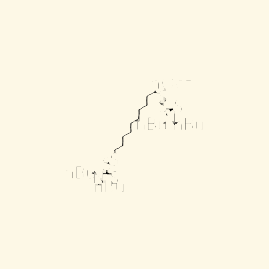 CCCCCCCCC(CCCCCCCCCSSC(=S)N(CCCC)CCCC)SSC(=S)N(CCCC)CCCC